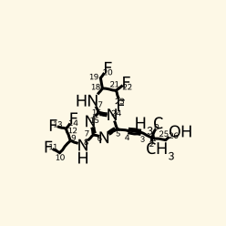 CC(C)(C#Cc1nc(NC(CF)C(F)F)nc(NC(CF)C(F)F)n1)CO